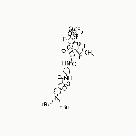 Cc1c(F)cc2c(c1F)Oc1c(cc(F)c(OS(=O)(=O)C(F)(F)F)c1F)C21OC(=O)c2cc(C(=O)N[C@H]3CC[C@H](NC(=O)c4cc5ccc(N(CCC(C)(C)C)CCC(C)(C)C)cc5oc4=O)CC3)ccc21